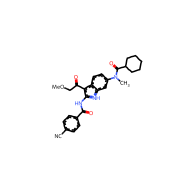 COCC(=O)c1c(NC(=O)c2ccc(C#N)cc2)[nH]c2cc(N(C)C(=O)C3CCCCC3)ccc12